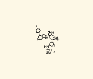 C=C(CC(C)(C)C)Nc1cncc(C(=C)/C=c2/c(-c3cc4c(-c5ccc(F)cc5)cncc4[nH]3)n[nH]/c2=C/C)c1